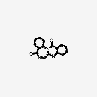 O=c1ncc2nc3ccccc3c(=O)n2c2ccccc12